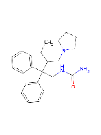 CCC(CN1CCCC1)C(CNC(N)=O)(c1ccccc1)c1ccccc1